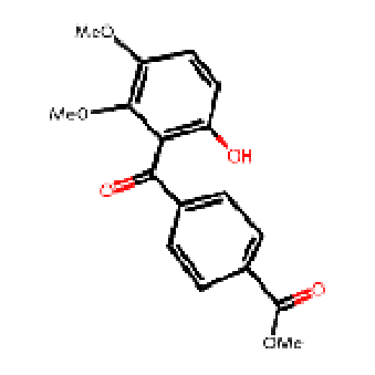 COC(=O)c1ccc(C(=O)c2c(O)ccc(OC)c2OC)cc1